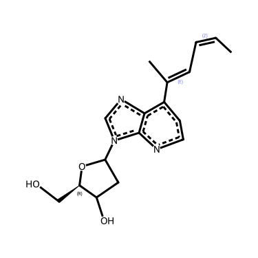 C/C=C\C=C(/C)c1ccnc2c1ncn2C1CC(O)[C@@H](CO)O1